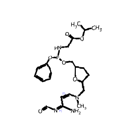 CC(C)OC(=O)CNP(OCC1CCC(CN(C)/C=C\C(N)=N/C=O)O1)Oc1ccccc1